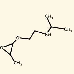 CC(C)NCCOC1OC1C